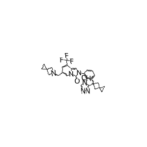 Cn1cnnc1C1(c2cccc(-n3cc4c(C(F)(F)F)cc(CN5CC6(CC6)C5)cn4c3=O)c2)CC2(CC2)C1